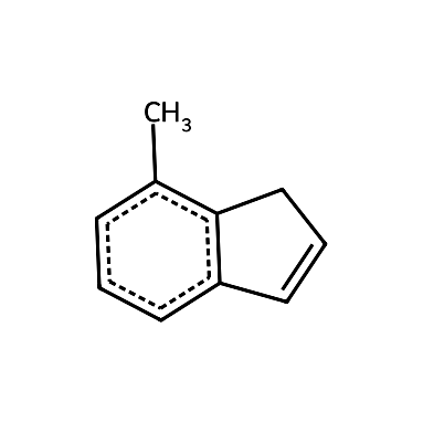 Cc1cccc2c1CC=C2